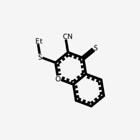 CCSc1oc2ccccc2c(=S)c1C#N